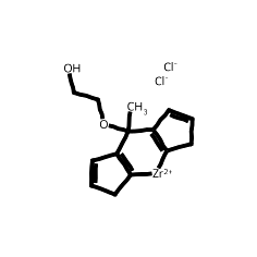 CC1(OCCO)C2=[C](CC=C2)[Zr+2][C]2=C1C=CC2.[Cl-].[Cl-]